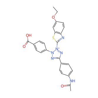 CCOc1ccc2nc(-[n+]3nc(-c4ccc(NC(C)=O)cc4)nn3-c3ccc(C(=O)O)cc3)sc2c1